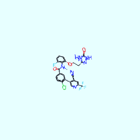 CN(C(=O)c1ccc(Cl)c(-c2cnc(C(F)(F)F)cc2C#N)c1)c1c(F)cccc1OCCc1n[nH]c(=O)[nH]1